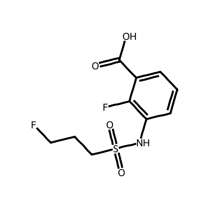 O=C(O)c1cccc(NS(=O)(=O)CCCF)c1F